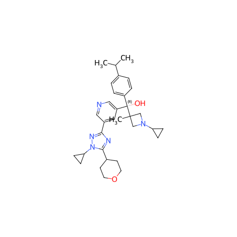 CC(C)c1ccc([C@](O)(c2cncc(-c3nc(C4CCOCC4)n(C4CC4)n3)c2)C2(C)CN(C3CC3)C2)cc1